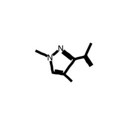 C=C(C)c1nn(C)cc1C